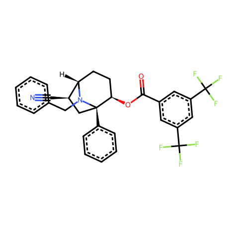 N#C[C@@H]1C[C@@]2(c3ccccc3)[C@H](OC(=O)c3cc(C(F)(F)F)cc(C(F)(F)F)c3)CC[C@@H]1N2Cc1ccccc1